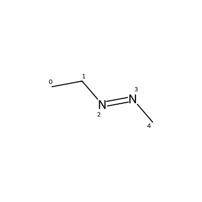 CCN=NC